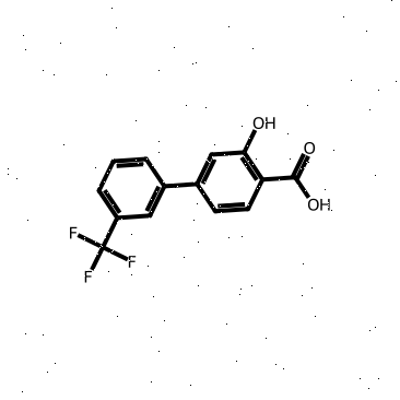 O=C(O)c1ccc(-c2cccc(C(F)(F)F)c2)cc1O